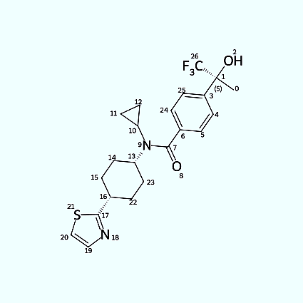 C[C@](O)(c1ccc(C(=O)N(C2CC2)[C@H]2CC[C@@H](c3nccs3)CC2)cc1)C(F)(F)F